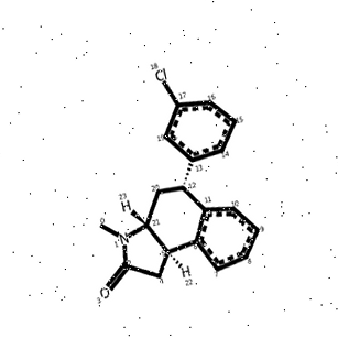 CN1C(=O)C[C@@H]2c3ccccc3[C@@H](c3cccc(Cl)c3)C[C@H]21